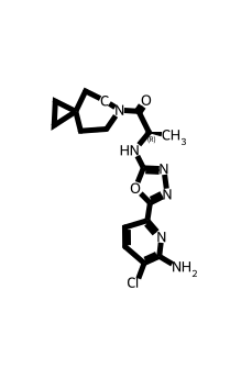 C[C@@H](Nc1nnc(-c2ccc(Cl)c(N)n2)o1)C(=O)N1CCC2(CC1)CC2